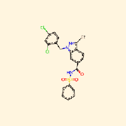 CCc1nn(Cc2ccc(Cl)cc2Cl)c2cc(C(=O)NS(=O)(=O)c3ccccc3)ccc12